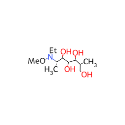 CCN(OC)[C@@H](C)[C@@H](O)C(O)[C@@H](O)C(C)CO